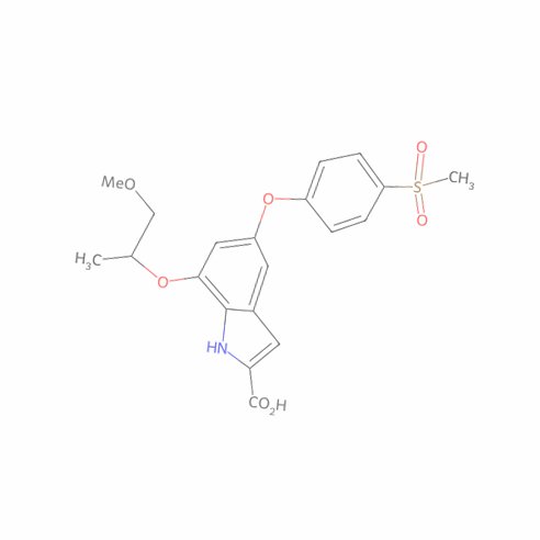 COCC(C)Oc1cc(Oc2ccc(S(C)(=O)=O)cc2)cc2cc(C(=O)O)[nH]c12